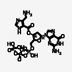 NCc1nc[nH]c1C(=O)O[C@@H]1C[C@H](n2cnc3c(=O)[nH]c(N)nc32)OC1COP(=O)(O)OP(=O)(O)OP(=O)(O)O